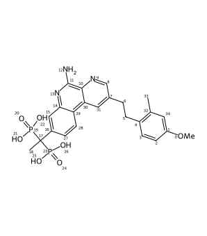 COc1ccc(CCc2cnc3c(N)nc4cc(C(C)(P(=O)(O)O)P(=O)(O)O)ccc4c3c2)c(C)c1